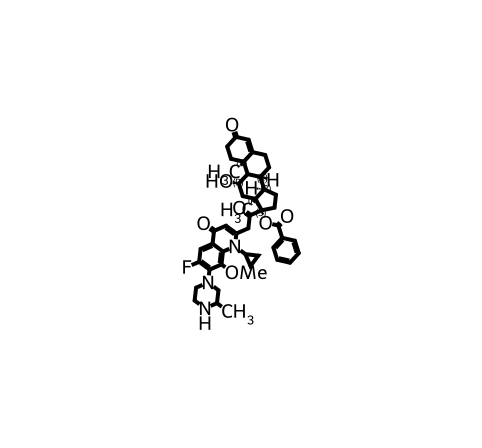 COc1c(N2CCNC(C)C2)c(F)cc2c(=O)cc(CC(=O)[C@]3(OC(=O)c4ccccc4)CC[C@@H]4[C@H]5CCC6=CC(=O)CC[C@@]6(C)C5[C@H](O)C[C@]43C)n(C3CC3)c12